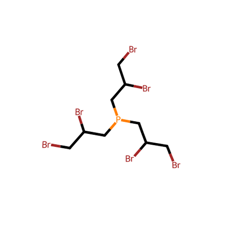 BrCC(Br)CP(CC(Br)CBr)CC(Br)CBr